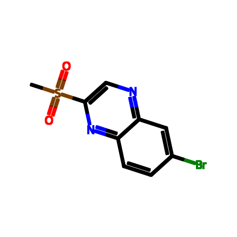 CS(=O)(=O)c1cnc2cc(Br)ccc2n1